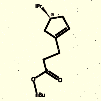 CCCCOC(=O)CCC1=CC[C@@H](C(C)C)C1